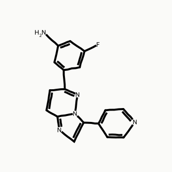 Nc1cc(F)cc(-c2ccc3ncc(-c4ccncc4)n3n2)c1